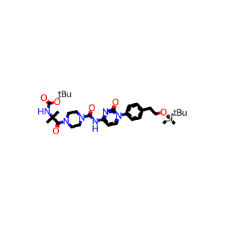 CC(C)(C)OC(=O)NC(C)(C)C(=O)N1CCN(C(=O)Nc2ccn(-c3ccc(CCO[Si](C)(C)C(C)(C)C)cc3)c(=O)n2)CC1